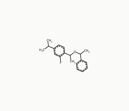 CC(C)c1ccc(C(C)OC(C)c2ccccc2)c(F)c1